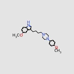 COc1ccc(N2CCN(CCCCc3c[nH]c4ccc(OC)cc34)CC2)cc1